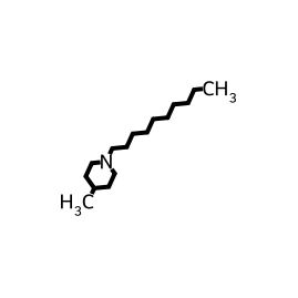 CCCCCCCCCCN1CCC(C)CC1